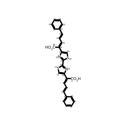 O=C(O)/C(=C\C=C\c1ccccc1)c1csc(-c2nc(/C(=C/C=C/c3ccccc3)C(=O)O)cs2)n1